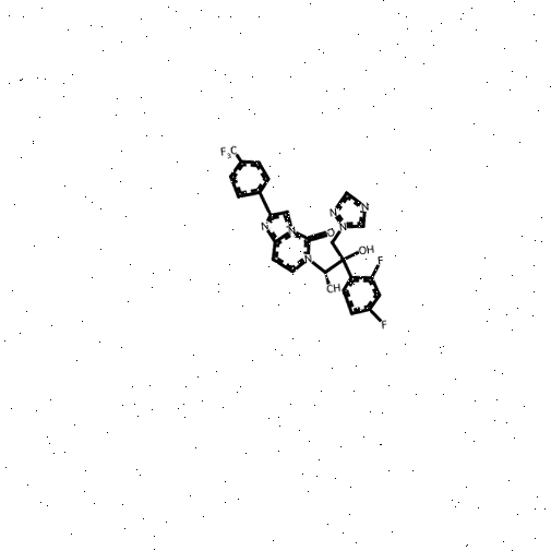 C[C@@H](n1ccc2nc(-c3ccc(C(F)(F)F)cc3)cn2c1=O)C(O)(Cn1cncn1)c1ccc(F)cc1F